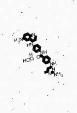 Cc1cc(Nc2ccc(C(=O)Nc3ccc(Nc4ccnc5ccc(N)cc45)cc3)cc2)nc(N)n1.Cl.Cl